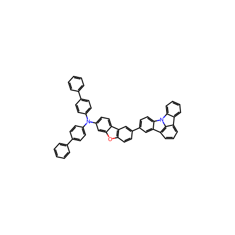 c1ccc(-c2ccc(N(c3ccc(-c4ccccc4)cc3)c3ccc4c(c3)oc3ccc(-c5ccc6c(c5)c5cccc7c8ccccc8n6c75)cc34)cc2)cc1